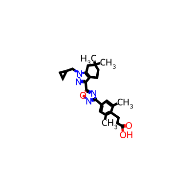 Cc1cc(-c2noc(-c3nn(CC4CC4)c4c3CCC(C)(C)C4)n2)cc(C)c1CCC(=O)O